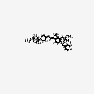 CN(C)Cc1c(OCc2ccncc2)ccc2c(CCC3CCN(C(=O)OC(C)(C)C)CC3)noc12